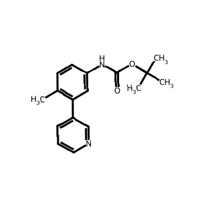 Cc1ccc(NC(=O)OC(C)(C)C)cc1-c1cccnc1